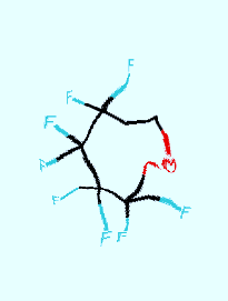 FC1(F)COC(F)(F)C(F)(F)C1(F)F